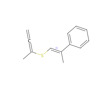 C=C=C(C)S/C=C(\C)c1ccccc1